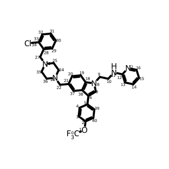 FC(F)(F)Oc1ccc(-c2cn(CCNc3ccccn3)c3ccc(CN4CCN(Cc5ccccc5Cl)CC4)cc23)cc1